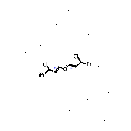 CC(C)C(Cl)/C=C/O/C=C/C(Cl)C(C)C